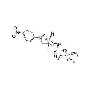 CC(C)(C)OC(=O)N[C@H]1[C@@H]2CN(c3ccc([N+](=O)[O-])cc3)C[C@@H]21